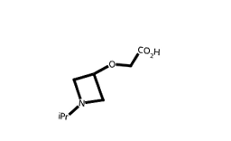 CC(C)N1CC(OCC(=O)O)C1